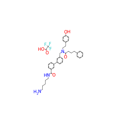 NCCCCCNC(=O)c1cccc(-c2cccc(CN(CCc3ccc(O)cc3)C(=O)CCCc3ccccc3)c2)c1.O=C(O)C(F)(F)F